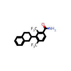 NC(=O)c1ccc(C(F)(F)F)c(C2CCc3ccccc3C2)c1C(F)(F)F